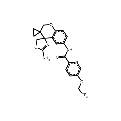 NC1=NC2(CO1)c1cc(NC(=O)c3ccc(OCC(F)(F)F)cn3)ccc1OCC21CC1